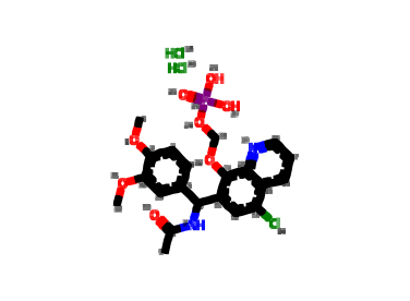 COc1ccc(C(NC(C)=O)c2cc(Cl)c3cccnc3c2OCOP(=O)(O)O)cc1OC.Cl.Cl